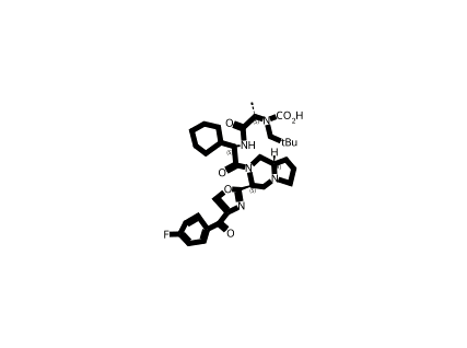 C[C@@H](C(=O)N[C@H](C(=O)N1C[C@H]2CCCN2C[C@H]1c1nc(C(=O)c2ccc(F)cc2)co1)C1CCCCC1)N(CC(C)(C)C)C(=O)O